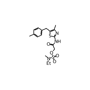 CCN(C)S(=O)(=O)OCC(=O)Nc1nc(C)c(Cc2ccc(C)cc2)s1